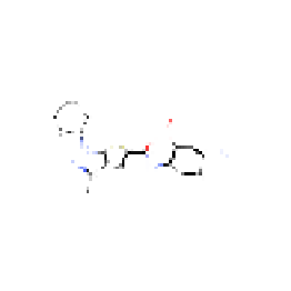 COc1cc(N)ccc1NC(=O)c1cc2c(C)nn(C3CCCCC3)c2s1